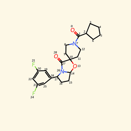 O=C(C1CCCC1)N1CCC2(CC1)OC1CCC(c3cc(F)cc(F)c3)N1C2=O